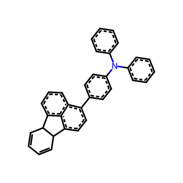 C1=CC2c3cccc4c(-c5ccc(N(c6ccccc6)c6ccccc6)cc5)ccc(c34)C2C=C1